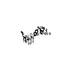 CCSc1nsc(NC(=O)N[C@@H]2CC3C[C@H](N(C)c4ncnc5[nH]ccc45)C[C@H]3C2)n1